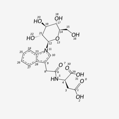 O=C(O)C[C@@H](NC(=O)Cc1cn([C@@H]2O[C@H](CO)[C@@H](O)[C@H](O)[C@H]2O)c2ccccc12)C(=O)O